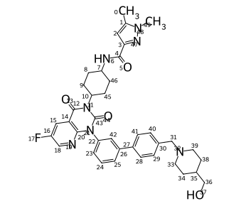 Cc1cc(C(=O)NC2CCC(n3c(=O)c4cc(F)cnc4n(-c4cccc(-c5ccc(CN6CCC(CO)CC6)cc5)c4)c3=O)CC2)nn1C